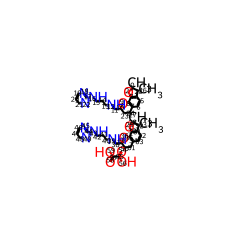 CC1Oc2c(ccc3c2OC(CNCCCNc2ncccn2)CC3)C1C.CC1Oc2c(ccc3c2OC(CNCCCNc2ncccn2)CC3)C1C.O=C(O)C(=O)O